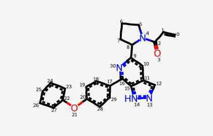 C=CC(=O)N1CCCC1c1cc2cn[nH]c2c(-c2ccc(Oc3ccccc3)cc2)n1